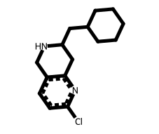 Clc1ccc2c(n1)CC(CC1CCCCC1)NC2